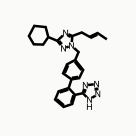 CC=CCc1nc(C2CCCCC2)nn1Cc1ccc(-c2ccccc2-c2nnn[nH]2)cc1